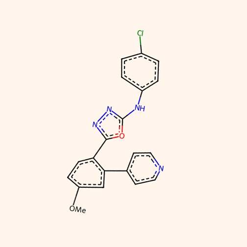 COc1ccc(-c2nnc(Nc3ccc(Cl)cc3)o2)c(-c2ccncc2)c1